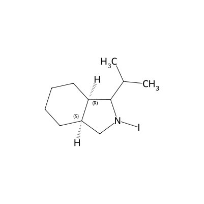 CC(C)C1[C@@H]2CCCC[C@@H]2CN1I